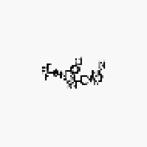 N#Cc1ccnc(N2CCC(c3nnc4n3-c3ccc(Cl)cc3CN(C35CC(C(F)(F)F)(C3)C5)C4)CC2)n1